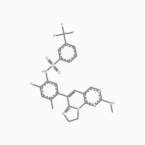 CNc1ncc2c(n1)N1CCN=C1C(c1cc(NS(=O)(=O)c3cccc(C(F)(F)F)c3)c(F)cc1C)=C2